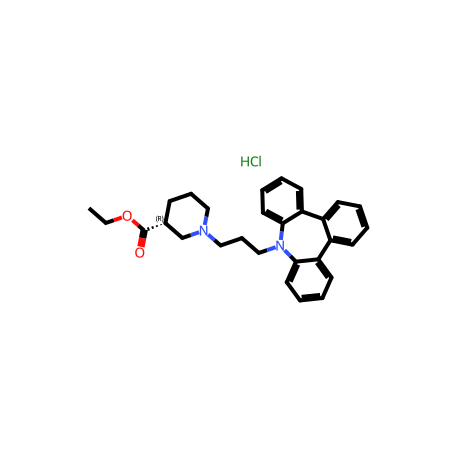 CCOC(=O)[C@@H]1CCCN(CCCN2c3ccccc3-c3ccccc3-c3ccccc32)C1.Cl